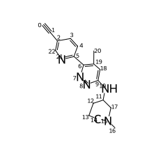 C#Cc1ccc(-c2nnc(NC3CCCN(C)C3)cc2C)nc1